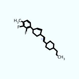 CCCC1CCC(/C=C/C2C=CC(c3ccc(C)c(F)c3F)CC2)CC1